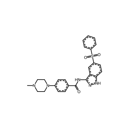 CN1CCN(c2ccc(C(=O)Nc3n[nH]c4ccc(S(=O)(=O)c5ccccc5)cc34)cc2)CC1